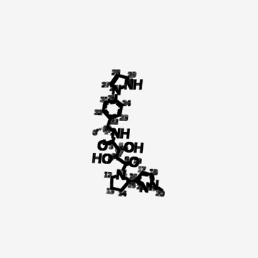 C[C@@H](NC(=O)[C@H](O)[C@@H](O)C(=O)N1CCC[C@@H]1c1ccn(C)n1)c1ccc(N2C=CCN2)cc1